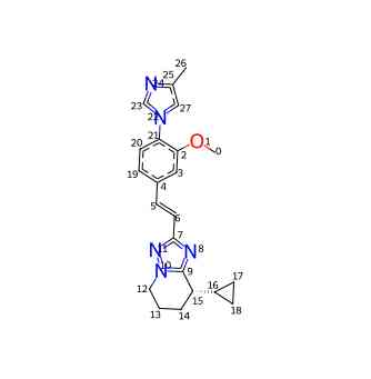 COc1cc(/C=C/c2nc3n(n2)CCC[C@H]3C2CC2)ccc1-n1cnc(C)c1